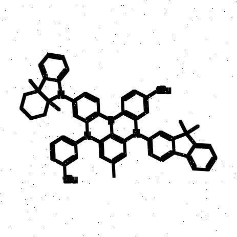 Cc1cc2c3c(c1)N(c1ccc4c(c1)C(C)(C)c1ccccc1-4)c1cc(C(C)(C)C)ccc1B3c1ccc(N3c4ccccc4C4(C)CCCCC34C)cc1N2c1cccc(C(C)(C)C)c1